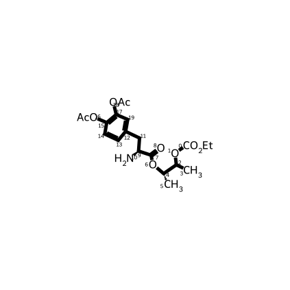 CCOC(=O)OC(C)[C@H](C)OC(=O)[C@@H](N)Cc1ccc(OC(C)=O)c(OC(C)=O)c1